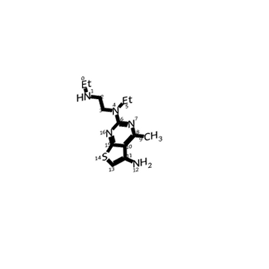 CCNCCN(CC)c1nc(C)c2c(N)csc2n1